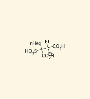 CCCCCCC(C(=O)O)(C(CC)(CC)C(=O)O)S(=O)(=O)O